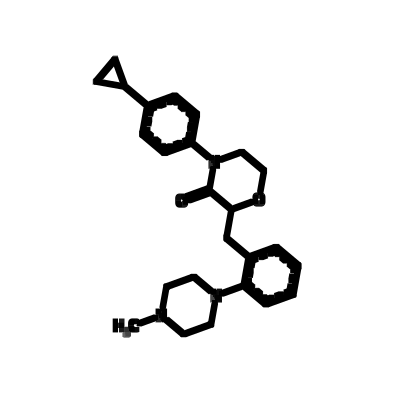 CN1CCN(c2ccccc2CC2OCCN(c3ccc(C4CC4)cc3)C2=O)CC1